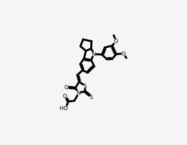 COc1ccc(N2c3ccc(/C=C4\SC(=S)N(CC(=O)O)C4=O)cc3C3CCCC32)cc1OC